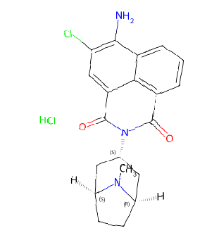 CN1[C@@H]2CC[C@H]1C[C@H](N1C(=O)c3cccc4c(N)c(Cl)cc(c34)C1=O)C2.Cl